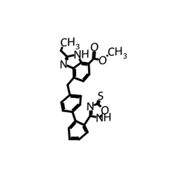 CCc1nc2c(Cc3ccc(-c4ccccc4-c4nc(=S)o[nH]4)cc3)ccc(C(=O)OC)c2[nH]1